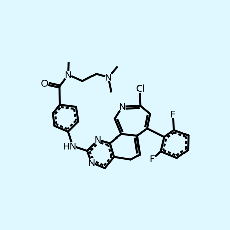 CN(C)CCN(C)C(=O)c1ccc(Nc2ncc3c(n2)C2=CN=C(Cl)C=C(c4c(F)cccc4F)C2=CC3)cc1